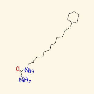 NC(=O)NCCCCCCCCCCCCC1CCCCC1